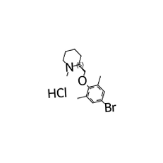 Cc1cc(Br)cc(C)c1OC[C@@H]1CCCCN1C.Cl